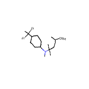 CCC(C)(CC)C1CCC(N(C)C(C)(C)CC(C)OC)CC1